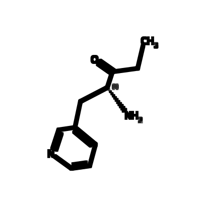 CCC(=O)[C@H](N)Cc1cccnc1